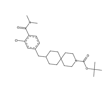 CN(C)C(=O)c1ccc(CC2CCC3(CC2)CCN(C(=O)OC(C)(C)C)CC3)cc1Cl